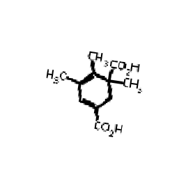 CC1=C(C)C(C)(C(=O)O)CC(C(=O)O)=C1